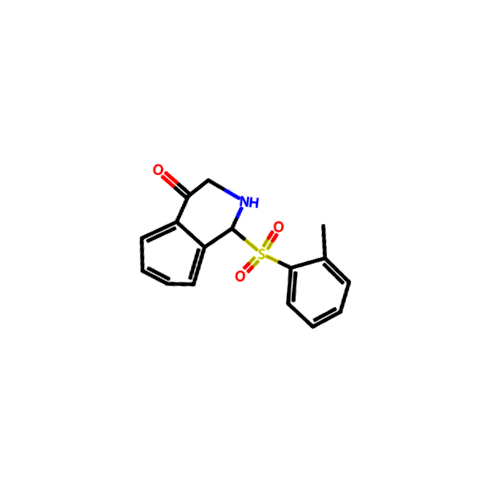 Cc1ccccc1S(=O)(=O)C1NCC(=O)c2ccccc21